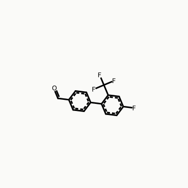 O=Cc1ccc(-c2ccc(F)cc2C(F)(F)F)cc1